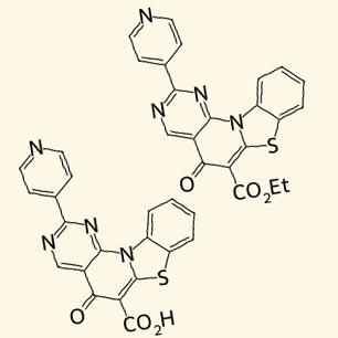 CCOC(=O)c1c(=O)c2cnc(-c3ccncc3)nc2n2c1sc1ccccc12.O=C(O)c1c(=O)c2cnc(-c3ccncc3)nc2n2c1sc1ccccc12